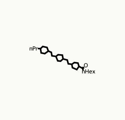 CCCCCCC(=O)C1CCC(CCC2CCC(CCC3CCC(CCC)CC3)CC2)CC1